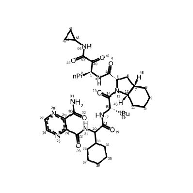 CCC[C@H](NC(=O)[C@@H]1C[C@@H]2CCCC[C@@H]2N1C(=O)[C@@H](NC(=O)C(NC(=O)c1nccnc1C(N)=O)C1CCCCC1)C(C)(C)C)C(=O)C(=O)NC1CC1